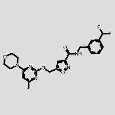 Cc1cc(N2CCOCC2)nc(OCc2cc(C(=O)NCc3cccc(C(F)F)c3)no2)n1